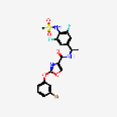 C[C@@H](NC(=O)c1coc(Oc2cccc(Br)c2)n1)c1cc(F)c(NS(C)(=O)=O)c(F)c1